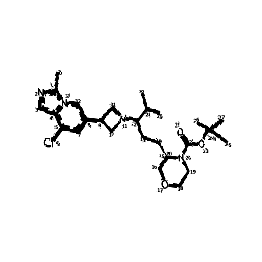 Cc1ncc2c(Cl)cc(C3CN(C(CC[C@@H]4COCCN4C(=O)OC(C)(C)C)C(C)C)C3)cn12